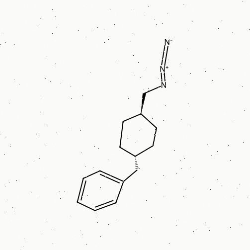 [N-]=[N+]=NC[C@H]1CC[C@H](Cc2ccccc2)CC1